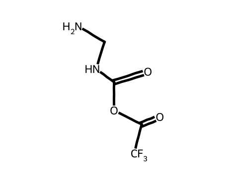 NCNC(=O)OC(=O)C(F)(F)F